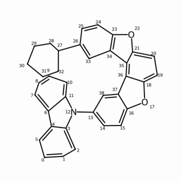 c1ccc2c(c1)c1ccccc1n2-c1ccc2oc3ccc4oc5ccc(C6CCCCC6)cc5c4c3c2c1